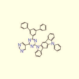 c1ccc(-c2cc(-c3ccccc3)cc(-c3nc(-c4cncnc4)nc(-n4c5ccccc5c5cc6c(cc54)c4ccccc4n6-c4ccccc4)n3)c2)cc1